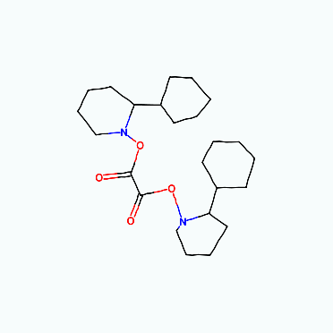 O=C(ON1CCCCC1C1CCCCC1)C(=O)ON1CCCCC1C1CCCCC1